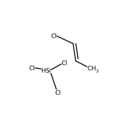 CC=CCl.Cl[SiH](Cl)Cl